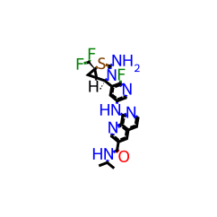 CC(C)NC(=O)c1cnc2c(Nc3cnc(F)c([C@]4(C)N=C(N)S[C@@]5(C(F)F)C[C@@H]45)c3)nccc2c1